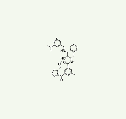 COC[C@H]1CCCN1C(=O)c1cc(C)cc(C(=O)N[C@@H](Cc2ccccc2)[C@@H](O)CNCc2cncc(C(C)C)c2)c1